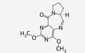 COc1nc(OC)c2c(n1)C(=O)N1CCC[C@H]1C=N2